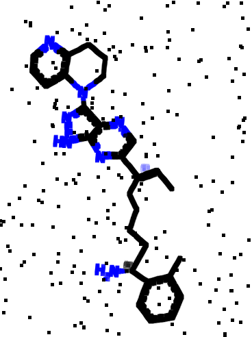 C/C=C(\CCCC[C@@H](N)c1ccccc1C)c1cnc2c(N3CCCc4ncccc43)n[nH]c2n1